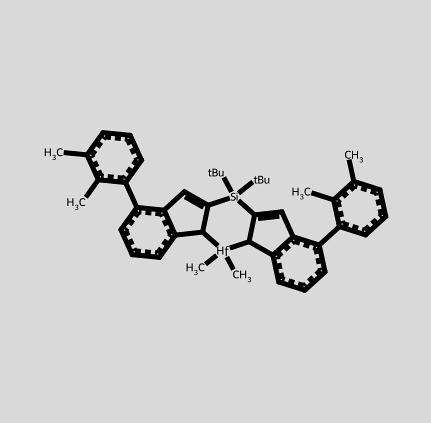 Cc1cccc(-c2cccc3c2C=C2[CH]3[Hf]([CH3])([CH3])[CH]3C(=Cc4c(-c5cccc(C)c5C)cccc43)[Si]2(C(C)(C)C)C(C)(C)C)c1C